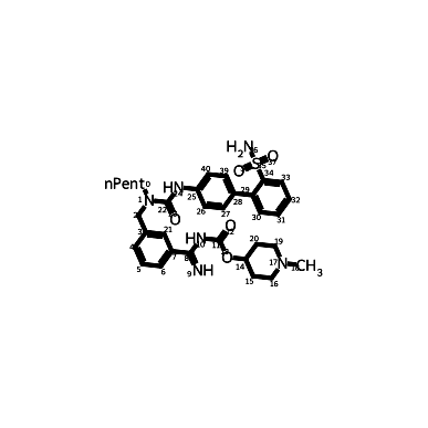 CCCCCN(Cc1cccc(C(=N)NC(=O)OC2CCN(C)CC2)c1)C(=O)Nc1ccc(-c2ccccc2S(N)(=O)=O)cc1